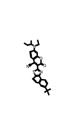 CCC(C)N(CC)c1ccc2c(C#N)c(-c3nc4c(ccc5cc(C(C)(C)C)ccc54)s3)c(=O)oc2c1